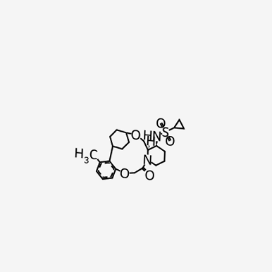 Cc1cccc2c1C1CCC(CC1)OC[C@H]1[C@@H](NS(=O)(=O)C3CC3)CCCN1C(=O)CO2